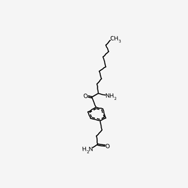 CCCCCCCCC(N)C(=O)c1ccc(CCC(N)=O)cc1